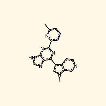 Cc1cccc(-c2nc(-c3cn(C)c4cnccc34)c3nc[nH]c3n2)n1